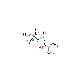 CC(C)C(=O)CN(C)CC(C)(C)C